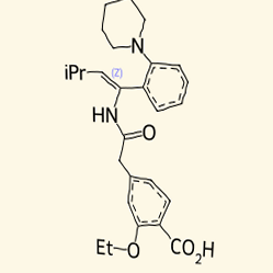 CCOc1cc(CC(=O)N/C(=C\C(C)C)c2ccccc2N2CCCCC2)ccc1C(=O)O